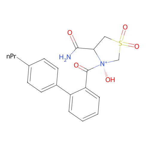 CCCc1ccc(-c2ccccc2C(=O)[N@+]2(O)CS(=O)(=O)CC2C(N)=O)cc1